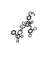 Cc1ccc(N2CC(CC(=O)O)(CC(=O)N3CCC4(CC3)C(=O)NCN4c3ccccc3)CN(Cc3ccc(Cl)cc3Cl)C2=O)cc1